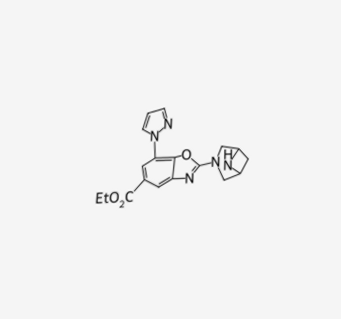 CCOC(=O)c1cc(-n2cccn2)c2oc(N3CC4CC(C3)N4)nc2c1